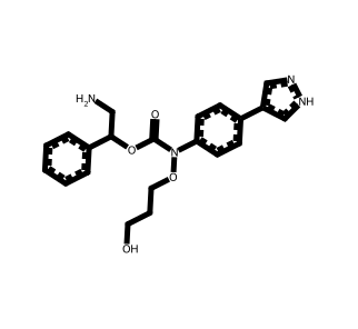 NCC(OC(=O)N(OCCCO)c1ccc(-c2cn[nH]c2)cc1)c1ccccc1